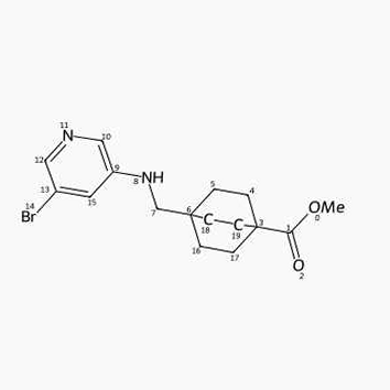 COC(=O)C12CCC(CNc3cncc(Br)c3)(CC1)CC2